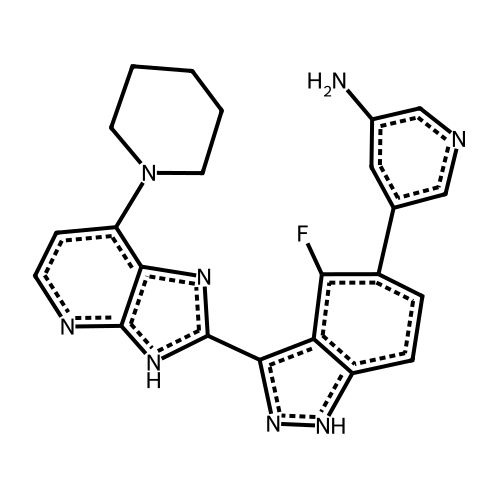 Nc1cncc(-c2ccc3[nH]nc(-c4nc5c(N6CCCCC6)ccnc5[nH]4)c3c2F)c1